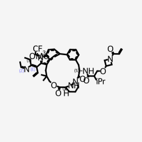 C=CC(=O)N1CC(OCC(C(=O)N[C@H]2Cc3cccc(c3)-c3ccc4c(c3)c(c(/C(C=C)=C(/N=C\C)[C@H](C)OC)n4CC(F)(F)F)CC(C)(C)COC(=O)[C@@H]3CCCN(N3)C2=O)C(C)C)C1